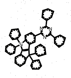 c1ccc(-c2nc(-c3ccccc3)nc(-c3ccc4c(c3)C3=C(c5ccccc5C3(c3ccccc3)c3ccccc3)[Si]4(c3ccccc3)c3ccccc3)n2)cc1